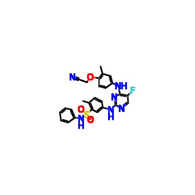 Cc1cc(Nc2nc(Nc3ccc(C)c(S(=O)(=O)Nc4ccccc4)c3)ncc2F)ccc1OCC#N